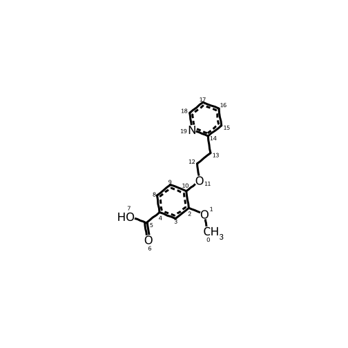 COc1cc(C(=O)O)ccc1OCCc1ccccn1